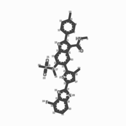 CNC(=O)c1c(-c2ccc(C)cc2)oc2cc(N(C)S(C)(=O)=O)c(-c3sc(-c4nc5cccc(F)c5o4)cc3C)cc12